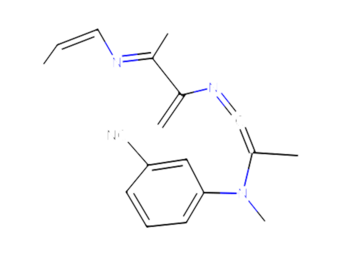 C=C(N=C=C(C)N(C)c1cccc(C#N)c1)/C(C)=N/C=C\C